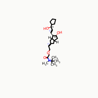 CN(C(=O)COC/C=C1\C[C@H]2C[C@@H](O)[C@H](/C=C/[C@@H](O)C3CCCC3)[C@H]2C1)C(C)(C)C